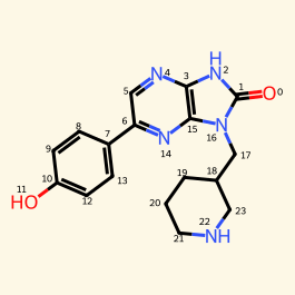 O=c1[nH]c2ncc(-c3ccc(O)cc3)nc2n1CC1CCCNC1